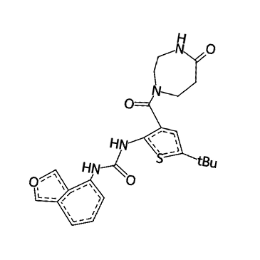 CC(C)(C)c1cc(C(=O)N2CCNC(=O)CC2)c(NC(=O)Nc2cccc3cocc23)s1